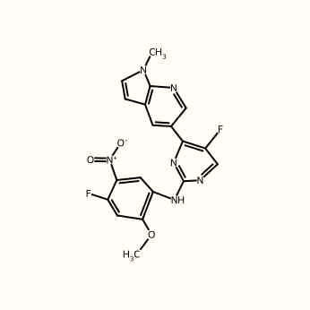 COc1cc(F)c([N+](=O)[O-])cc1Nc1ncc(F)c(-c2cnc3c(ccn3C)c2)n1